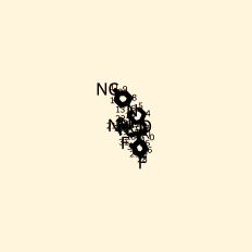 C[C@@H](OC1CCN(c2ccc(C#N)cc2)CC1)[C@](O)(Cn1cncn1)c1ccc(F)cc1F